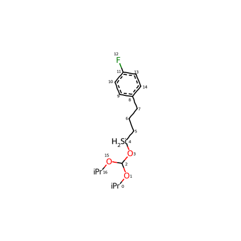 CC(C)OC(O[SiH2]CCCc1ccc(F)cc1)OC(C)C